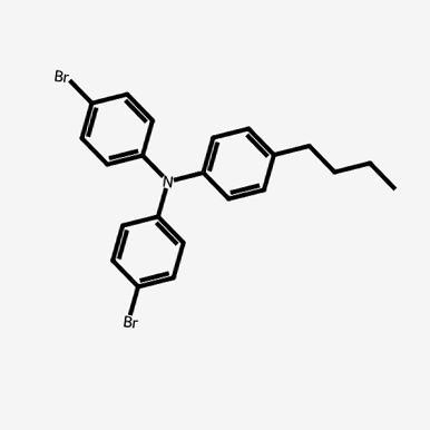 CCCCc1ccc(N(c2ccc(Br)cc2)c2ccc(Br)cc2)cc1